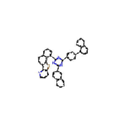 c1ccc2cc(-c3nc(-c4ccc(-c5cccc6ccccc56)cc4)nc(-c4cccc5ccc6c7ncccc7sc6c45)n3)ccc2c1